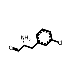 N[C@@H]([C]=O)Cc1cccc(Cl)c1